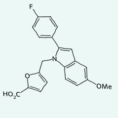 COc1ccc2c(c1)cc(-c1ccc(F)cc1)n2Cc1ccc(C(=O)O)o1